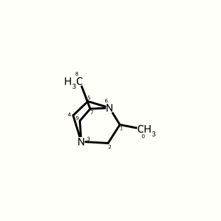 CC1CN2CCN1C(C)C2